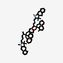 C=C(/C=C/C=C1/N(C)c2cc3ccccc3cc2C1(C)C)C(Cc1ccccc1)(Cc1ccc(CC(Cc2ccccc2)(C(=C)/C=C/C=C2/N(C)c3cc4ccccc4cc3C2(C)C)c2ccccc2C)cc1)c1ccccc1C